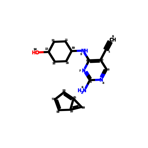 C#Cc1cnc(N)nc1NC1CCC(O)CC1.c1cc2cc-2c1